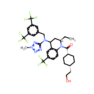 CC[C@@H]1CC(N(Cc2cc(C(F)(F)F)cc(C(F)(F)F)c2)c2nnn(C)n2)c2cc(C(F)(F)F)ccc2N1C(=O)[C@H]1CC[C@@H](CCO)CC1